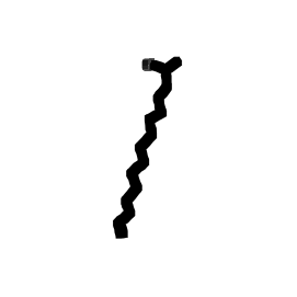 C=CCCCCCCCCCCCC(C)Cl